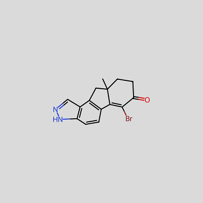 CC12CCC(=O)C(Br)=C1c1ccc3[nH]ncc3c1C2